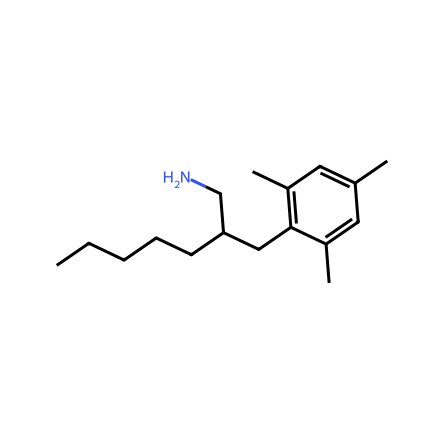 CCCCCC(CN)Cc1c(C)cc(C)cc1C